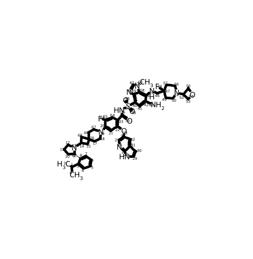 CC(C)c1ccccc1[C@@H]1CCCN1C1CC2(CCN(c3cc(Oc4cnc5[nH]ccc5c4)c(C(=O)NS(=O)(=O)c4cc(N)c(NCC5(F)CCN(C6COC6)CC5)c5c4ncn5C)cc3F)CC2)C1